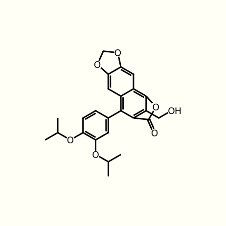 CC(C)Oc1ccc(-c2c3c(CO)c(c4cc5c(cc24)OCO5)OC3=O)cc1OC(C)C